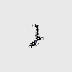 Clc1cc(/C=C/c2ccc(Cl)cc2Br)cc(OCCCNCC2CNC2)c1